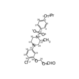 CC(C)Oc1ccc(S(=O)(=O)N2CCN(c3ccc(Cl)c(OCOC=O)c3)CC2C)cc1